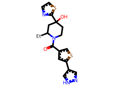 CCC1CC(O)(c2nccs2)CCN1C(=O)c1csc(-c2cn[nH]c2)c1